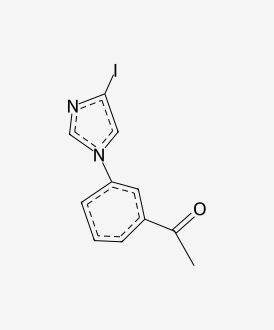 CC(=O)c1cccc(-n2cnc(I)c2)c1